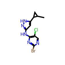 CC1CC1c1cc(Nc2nc(Br)ncc2Cl)n[nH]1